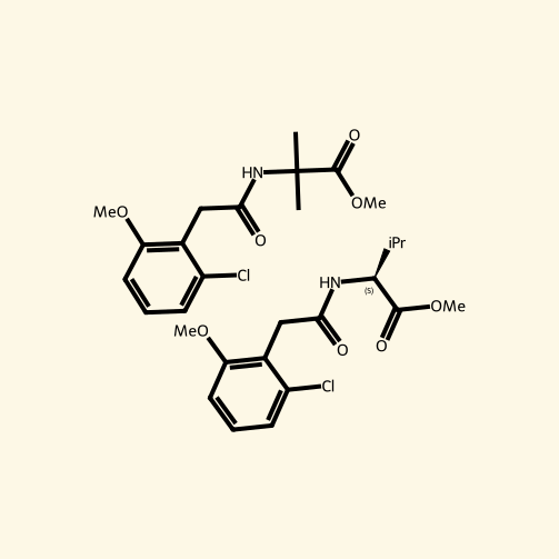 COC(=O)C(C)(C)NC(=O)Cc1c(Cl)cccc1OC.COC(=O)[C@@H](NC(=O)Cc1c(Cl)cccc1OC)C(C)C